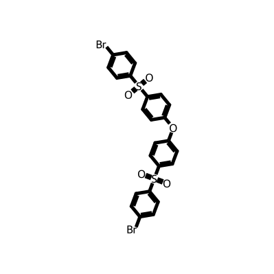 O=S(=O)(c1ccc(Br)cc1)c1ccc(Oc2ccc(S(=O)(=O)c3ccc(Br)cc3)cc2)cc1